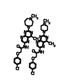 Cc1nc(N2CCCN(C)CC2)nc2ncc(NC(=O)COc3ccc(Cl)cc3)nc12.Cc1nc(N2CCN(C)CC2)nc2ncc(NC(=O)COc3ccc(Cl)cc3)nc12